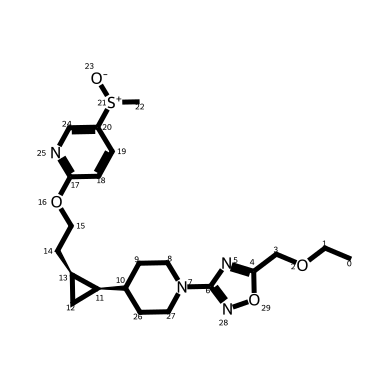 CCOCc1nc(N2CCC([C@H]3C[C@H]3CCOc3ccc([S+](C)[O-])cn3)CC2)no1